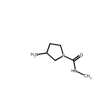 CNC(=O)N1CCC(N)C1